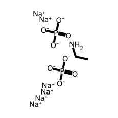 CCN.O=P([O-])([O-])[O-].O=P([O-])([O-])[O-].[Na+].[Na+].[Na+].[Na+].[Na+].[Na+]